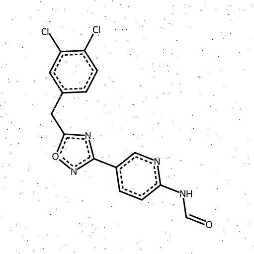 O=CNc1ccc(-c2noc(Cc3ccc(Cl)c(Cl)c3)n2)cn1